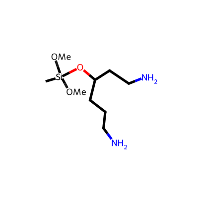 CO[Si](C)(OC)OC(CCN)CCCN